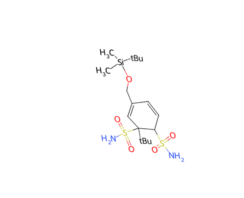 CC(C)(C)C1(S(N)(=O)=O)C=C(CO[Si](C)(C)C(C)(C)C)C=CC1S(N)(=O)=O